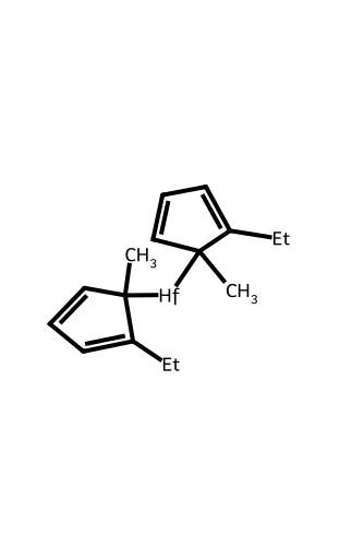 CCC1=CC=C[C]1(C)[Hf][C]1(C)C=CC=C1CC